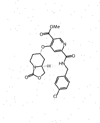 COC(=O)c1cnc(C(=O)NCc2ccc(Cl)cc2)cc1O[C@H]1CCN2C(=O)OC[C@@H]2C1